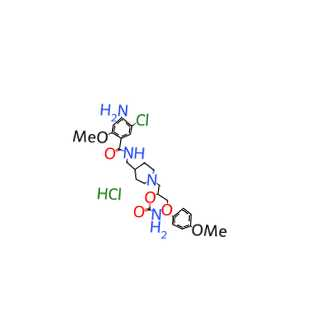 COc1ccc(OCC(CN2CCC(CNC(=O)c3cc(Cl)c(N)cc3OC)CC2)OC(N)=O)cc1.Cl